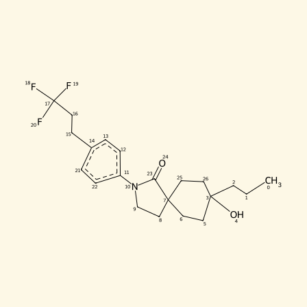 CCCC1(O)CCC2(CCN(c3ccc(CCC(F)(F)F)cc3)C2=O)CC1